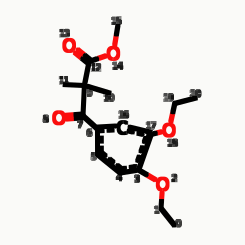 CCOc1ccc(C(=O)C(C)(C)C(=O)OC)cc1OCC